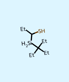 CCC(S)[SiH2]C(CC)(CC)CC